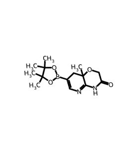 CC12CC(B3OC(C)(C)C(C)(C)O3)=CN=C1NC(=O)CO2